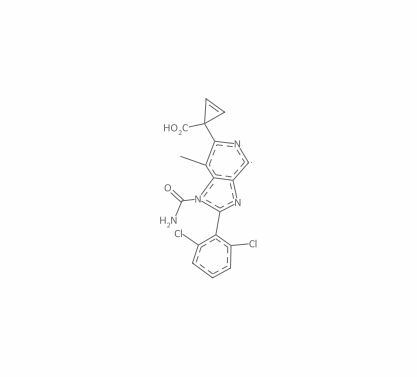 Cc1c(C2(C(=O)O)C=C2)n[c]c2nc(-c3c(Cl)cccc3Cl)n(C(N)=O)c12